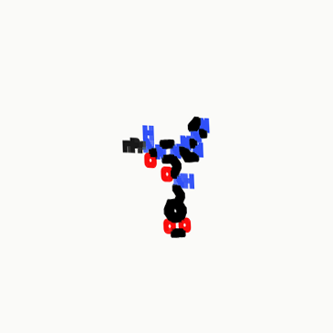 CCCNC(=O)N1CCN(c2ccnc(-n3ccnc3)n2)C(CC(=O)NCCc2ccc3c(c2)OCCO3)C1